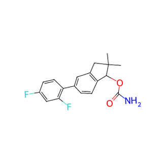 CC1(C)Cc2cc(-c3ccc(F)cc3F)ccc2C1OC(N)=O